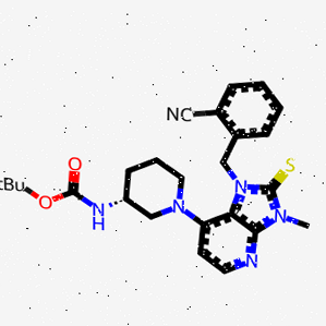 Cn1c(=S)n(Cc2ccccc2C#N)c2c(N3CCC[C@@H](NC(=O)OC(C)(C)C)C3)ccnc21